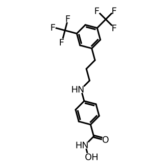 O=C(NO)c1ccc(NCCCc2cc(C(F)(F)F)cc(C(F)(F)F)c2)cc1